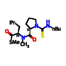 CCCCNC(=S)N1CCC[C@H]1C(=O)N(C)[C@H](CC(C)C)C(=O)SC